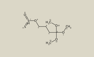 COC(CCCO[SH](=O)=S)(OC)OC